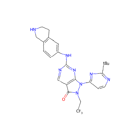 CC(C)(C)c1nccc(-n2c3nc(Nc4ccc5c(c4)CCNC5)ncc3c(=O)n2CC(F)(F)F)n1